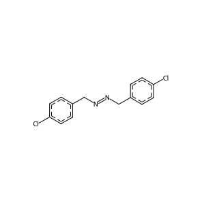 Clc1ccc(C/N=N/Cc2ccc(Cl)cc2)cc1